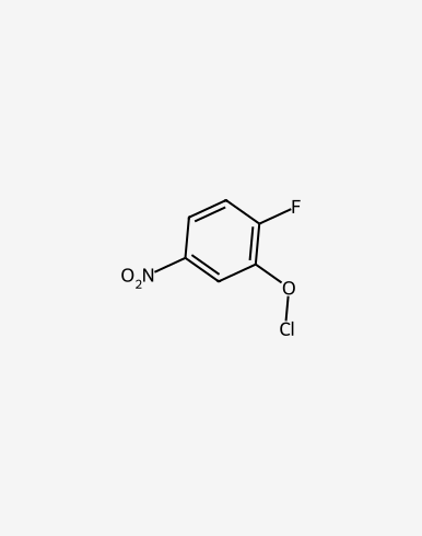 O=[N+]([O-])c1ccc(F)c(OCl)c1